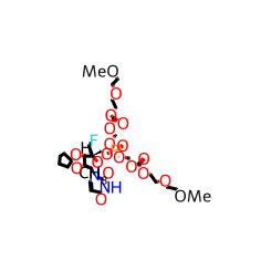 COCCOCCOC(=O)OCOP(=O)(OCOC(=O)OCCOCCOC)OC[C@@]1(CF)O[C@@H](n2ccc(=O)[nH]c2=O)[C@]2(C)OC3(CCCC3)O[C@H]12